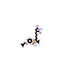 O=C1CC(CCC/C=C/C2(NS(=O)(=O)c3ccc(F)c(OCC4CC4)c3)CC2)C(=O)N1